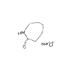 O=C1CCCCCN1.[Cl-].[Na+]